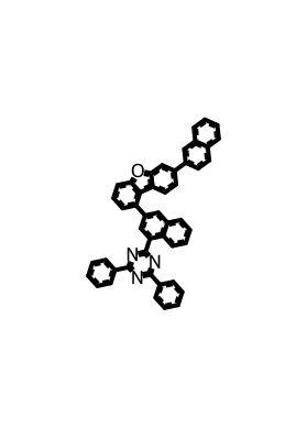 c1ccc(-c2nc(-c3ccccc3)nc(-c3cc(-c4cccc5oc6cc(-c7ccc8ccccc8c7)ccc6c45)cc4ccccc34)n2)cc1